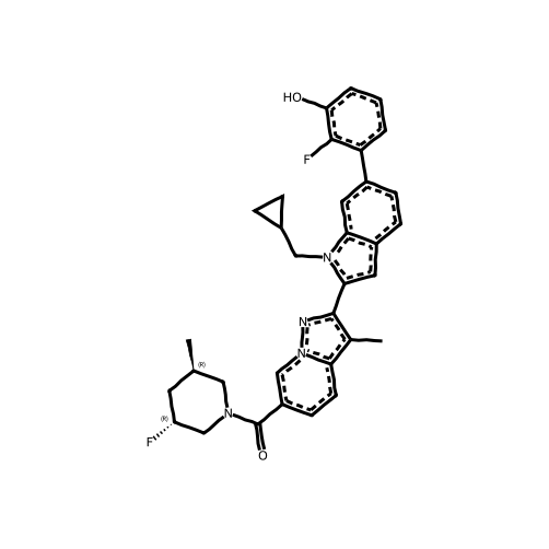 Cc1c(-c2cc3ccc(-c4cccc(O)c4F)cc3n2CC2CC2)nn2cc(C(=O)N3C[C@H](C)C[C@@H](F)C3)ccc12